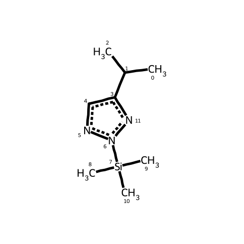 CC(C)c1cnn([Si](C)(C)C)n1